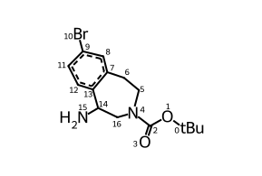 CC(C)(C)OC(=O)N1CCc2cc(Br)ccc2C(N)C1